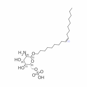 CCCCCCCC/C=C\CCCCCCCCO[C@H]1O[C@H](COS(=O)(=O)O)[C@@H](O)[C@H](O)[C@H]1N